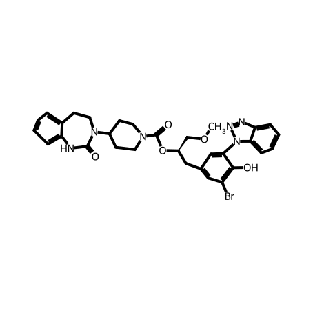 COC[C@@H](Cc1cc(Br)c(O)c(-n2nnc3ccccc32)c1)OC(=O)N1CCC(N2CCc3ccccc3NC2=O)CC1